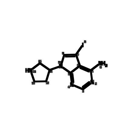 Nc1ncnc2c1c(I)cn2C1CCNC1